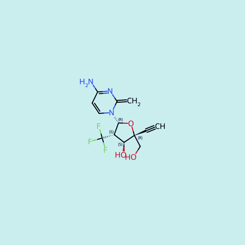 C#C[C@]1(CO)O[C@@H](N2C=CC(N)=NC2=C)[C@@H](C(F)(F)F)[C@@H]1O